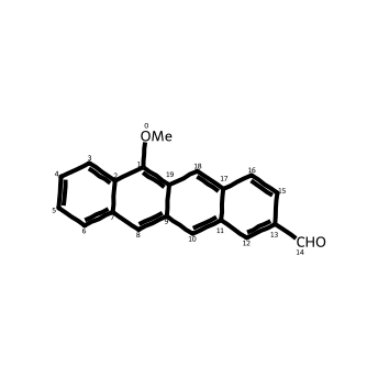 COc1c2ccccc2cc2cc3cc(C=O)ccc3cc12